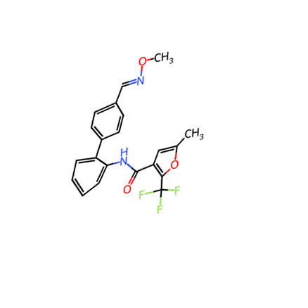 CO/N=C/c1ccc(-c2ccccc2NC(=O)c2cc(C)oc2C(F)(F)F)cc1